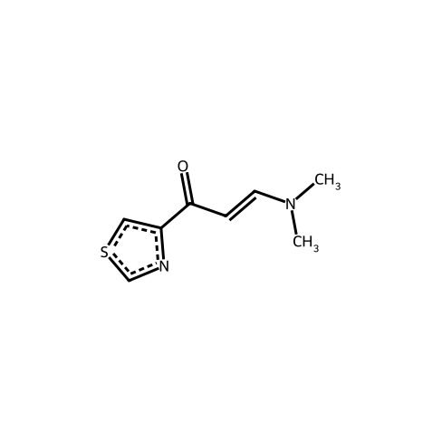 CN(C)C=CC(=O)c1cscn1